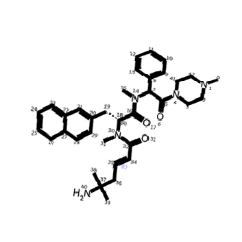 CN1CCN(C(=O)C(c2ccccc2)N(C)C(=O)[C@@H](CC2=CC3=CC=CCC3C=C2)N(C)C(=O)/C=C/CC(C)(C)N)CC1